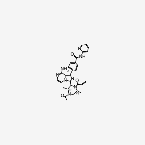 C=CC(=O)N1C(c2nc(-c3ccc(C(=O)Nc4ccccn4)cc3)c3c(N)nccn23)[C@H](C)N(C(C)=O)C[C@@H]1C